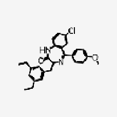 CCc1cc(CC)cc(CC2N=C(c3ccc(OC)cc3)c3cc(Cl)ccc3NC2=O)c1